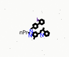 C=C1C=C(c2cc(C)c3nc(CCC)n(Cc4ccc(-c5ccccc5I)cc4)c3c2)N(C)c2ccccc21